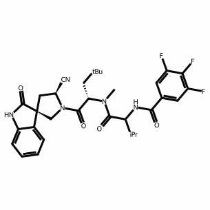 CC(C)C(NC(=O)c1cc(F)c(F)c(F)c1)C(=O)N(C)[C@@H](CC(C)(C)C)C(=O)N1C[C@]2(C[C@H]1C#N)C(=O)Nc1ccccc12